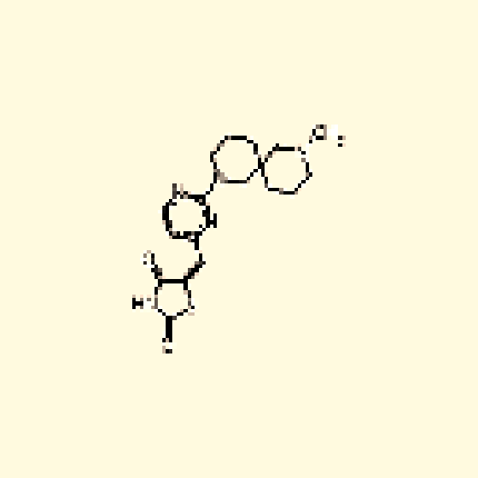 CN1CCCC2(CCCN(c3nccc(C=C4SC(=O)NC4=O)n3)C2)C1